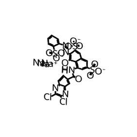 O=C(Nc1cc(S(=O)(=O)[O-])cc2cc(S(=O)(=O)[O-])c(N=Nc3ccccc3S(=O)(=O)[O-])c(O)c12)c1ccc2nc(Cl)c(Cl)nc2c1.[Na+].[Na+].[Na+]